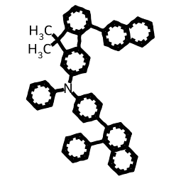 CC1(C)c2cc(N(c3ccccc3)c3ccc(-c4ccc5ccccc5c4-c4ccccc4)cc3)ccc2-c2c(-c3ccc4ccccc4c3)cccc21